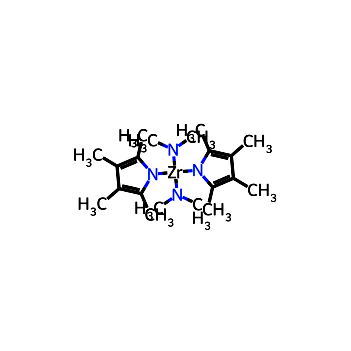 Cc1c(C)c(C)[n]([Zr]([N](C)C)([N](C)C)[n]2c(C)c(C)c(C)c2C)c1C